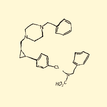 CN(Cc1ccccc1)C(=O)O.Clc1ccc([C@H]2C[C@H]2CN2CCN(Cc3ccccc3)CC2)cc1